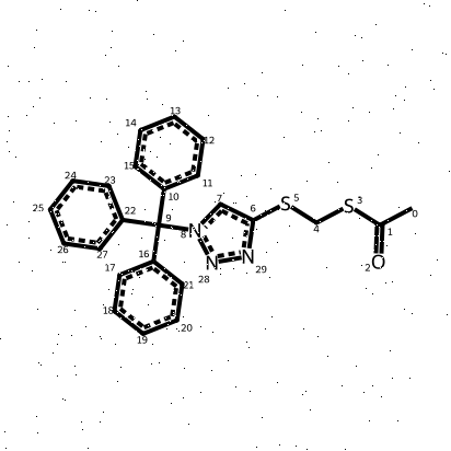 CC(=O)SCSc1cn(C(c2ccccc2)(c2ccccc2)c2ccccc2)nn1